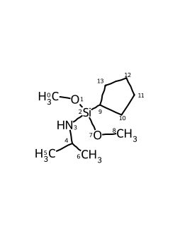 CO[Si](NC(C)C)(OC)C1CCCC1